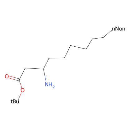 CCCCCCCCCCCCCCCC(N)CC(=O)OC(C)(C)C